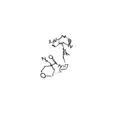 C[C@H]1CC[C@H](CN(C)c2ncnc3[nH]ccc23)N1C(=O)C1(C#N)CCOCC1